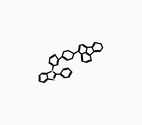 C1=C(c2cccc(-n3c(-c4ccccc4)nc4ccccc43)c2)CCC(c2ccc3c4c(cccc24)C2=CCCC=C23)C1